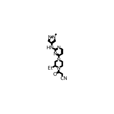 CCC1CN(c2ccnc(Nc3cnn(C)c3)n2)CCN1C(=O)CC#N